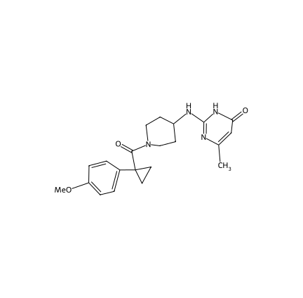 COc1ccc(C2(C(=O)N3CCC(Nc4nc(C)cc(=O)[nH]4)CC3)CC2)cc1